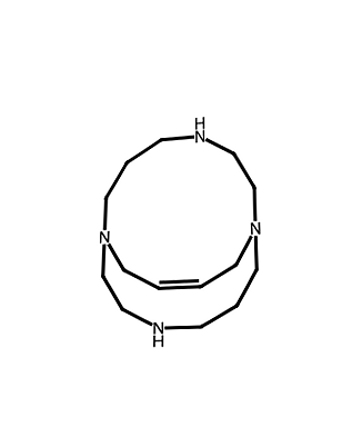 C1=CCN2CCCNCCN(C1)CCCNCC2